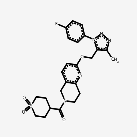 Cc1nnn(-c2ccc(F)cc2)c1COc1ccc2c(n1)CCN(C(=O)C1CCS(=O)(=O)CC1)C2